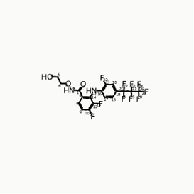 O=C(NOCCO)c1ccc(F)c(F)c1Nc1ccc(C(F)(F)C(F)(F)C(F)(F)F)cc1F